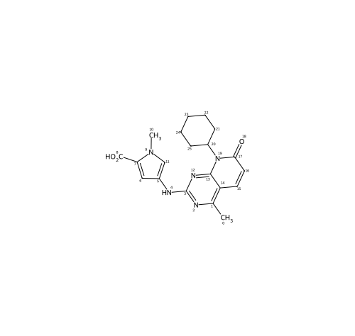 Cc1nc(Nc2cc(C(=O)O)n(C)c2)nc2c1ccc(=O)n2C1CCCCC1